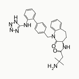 CC(C)(N)CC(=O)N[C@@H]1CCc2ccccc2N(Cc2ccc(-c3ccccc3Nc3nnn[nH]3)cc2)C1=O